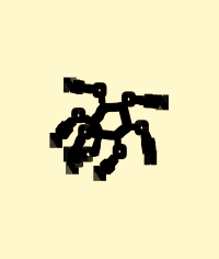 CC[C@@]1(OC#N)[C@@H](OC#N)[C@H](OC#N)[C@@H](OC#N)[C@H](OC#N)[C@@H]1OC#N